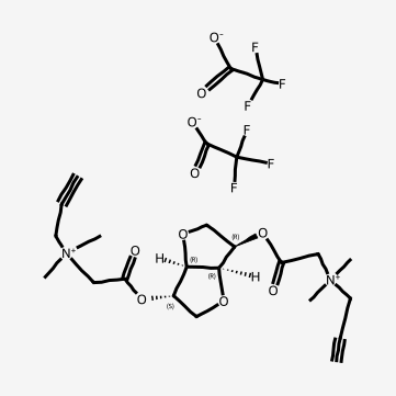 C#CC[N+](C)(C)CC(=O)O[C@H]1CO[C@H]2[C@@H]1OC[C@H]2OC(=O)C[N+](C)(C)CC#C.O=C([O-])C(F)(F)F.O=C([O-])C(F)(F)F